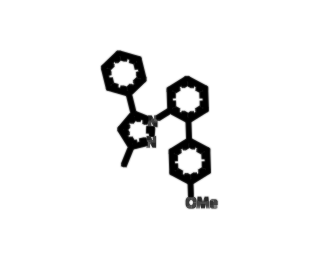 COc1ccc(-c2ccccc2-n2nc(C)cc2-c2ccccc2)cc1